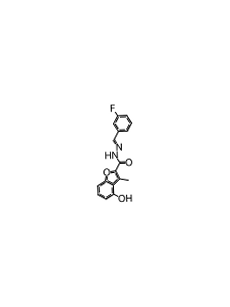 Cc1c(C(=O)N/N=C/c2cccc(F)c2)oc2cccc(O)c12